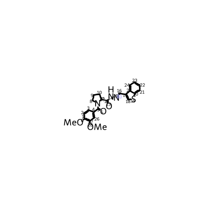 COc1ccc(C(=O)N2CCC[C@H]2C(=O)N/N=C/c2csc3ccccc23)cc1OC